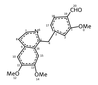 COc1cc(Cc2nccc3cc(OC)c(OC)cc23)ccc1C=O